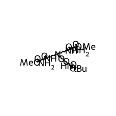 COC(=O)[C@H](N)CCC(=O)NCCCCCN(CCCCCNC(=O)CC[C@H](N)C(=O)OC)CCOCCOCCNC(=O)OC(C)(C)C